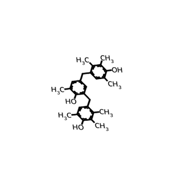 Cc1cc(Cc2cc(C)c(O)c(C)c2C)cc(Cc2cc(C)c(O)c(C)c2C)c1O